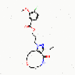 CCc1nn(CCCOC(=O)c2ccc(Cl)c(OC)c2)c2c1C(=O)NCCCOCCC2